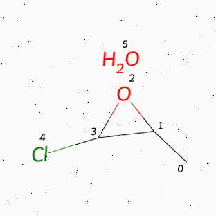 CC1OC1Cl.O